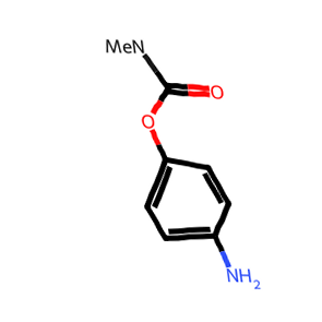 CNC(=O)Oc1ccc(N)cc1